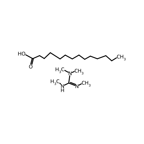 CCCCCCCCCCCCCC(=O)O.CN=C(NC)N(C)C